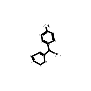 Cc1ccc(C(N)C2=CC=CCC2)cc1